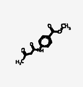 COC(=O)c1ccc(NC(=O)CC(C)=O)cc1